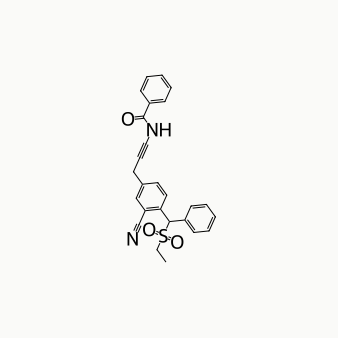 CCS(=O)(=O)C(c1ccccc1)c1ccc(CC#CNC(=O)c2ccccc2)cc1C#N